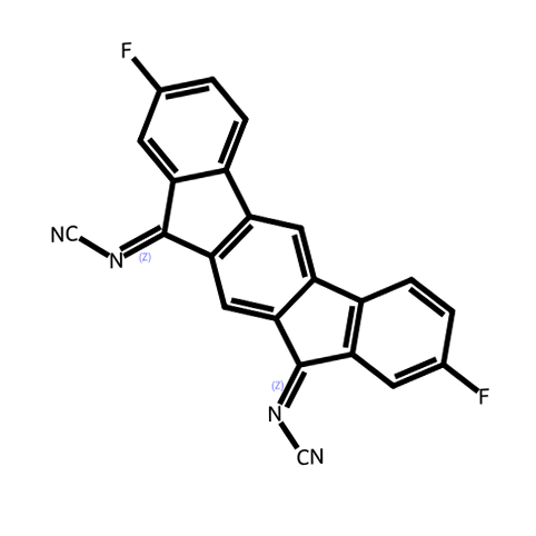 N#C/N=c1\c2cc(F)ccc2c2cc3c(cc12)/c(=N/C#N)c1cc(F)ccc13